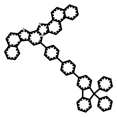 c1ccc(C2(c3ccccc3)c3ccccc3-c3cc(-c4ccc(-c5ccc(-c6cc7c(sc8ccc9ccccc9c87)c7nc8c9ccc%10ccccc%10c9ccc8n67)cc5)cc4)ccc32)cc1